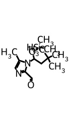 Cc1cnc(C=O)n1C(CC(C)(C)C)O[SiH](C)C